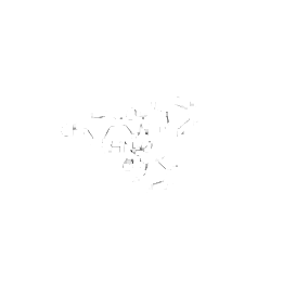 Cc1cc(Cl)ccc1-c1oc(Cc2ccccc2)nc1NS(=O)(=O)c1ccccc1